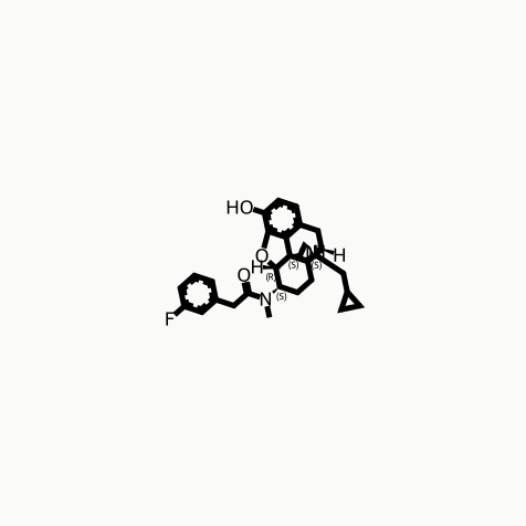 CN(C(=O)Cc1cccc(F)c1)[C@H]1CC[C@@]2(O)[C@H]3Cc4ccc(O)c5c4[C@@]2(CCN3CC2CC2)[C@H]1O5